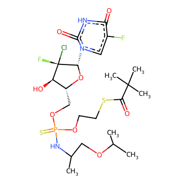 CC(COC(C)C)NP(=S)(OCCSC(=O)C(C)(C)C)OC[C@H]1O[C@@H](n2cc(F)c(=O)[nH]c2=O)[C@@](F)(Cl)[C@@H]1O